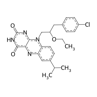 CCOC(Cc1ccc(Cl)cc1)Cn1c2nc(=O)[nH]c(=O)c-2nc2cc(C(C)C)ccc21